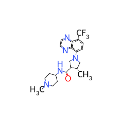 C[C@H]1CN(c2ccc(C(F)(F)F)c3nccnc23)CC1C(=O)NC1CCN(C)CC1